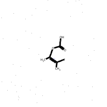 C/C(I)=C(\C)OC(=O)O